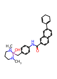 CN1CCCN(C)[P]1(O)Cc1ccc(NC(=O)c2ccc3ccc(C4=CCCC=C4)cc3c2)cc1